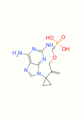 C=C(COCP(=O)(O)O)C1(n2cnc3c(N)nc(N)nc32)CC1